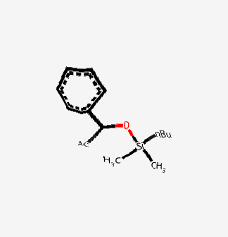 CCCC[Si](C)(C)OC(C(C)=O)c1ccccc1